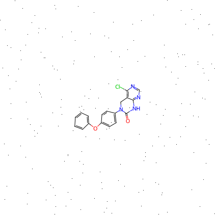 O=C1Nc2ncnc(Cl)c2CN1c1ccc(Oc2ccccc2)cc1